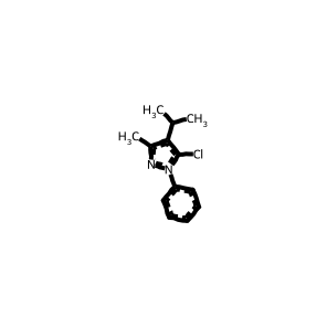 Cc1nn(-c2ccccc2)c(Cl)c1C(C)C